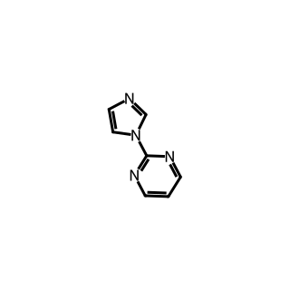 c1cnc(-n2ccnc2)nc1